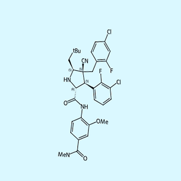 CNC(=O)c1ccc(NC(=O)[C@@H]2N[C@@H](CC(C)(C)C)[C@](C#N)(Cc3ccc(Cl)cc3F)[C@H]2c2cccc(Cl)c2F)c(OC)c1